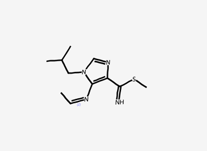 C/C=N\c1c(C(=N)SC)ncn1CC(C)C